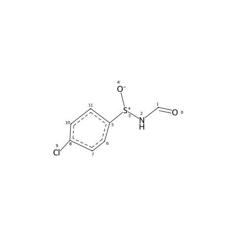 O=CN[S+]([O-])c1ccc(Cl)cc1